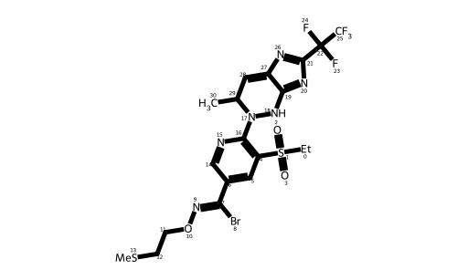 CCS(=O)(=O)c1cc(C(Br)=NOCCSC)cnc1N1NC2=NC(C(F)(F)C(F)(F)F)=NC2=CC1C